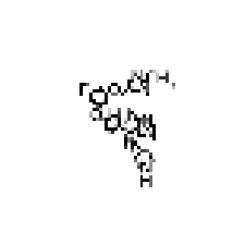 Cc1ncc(COc2cc(F)cc(Oc3ccc(-c4nn(C5CCNCC5)c5ncnc(N)c45)cc3)c2)cn1